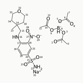 CC(=O)O[BH-](OC(C)=O)OC(C)=O.CC1(CNc2ccc(S(N)(=O)=O)cc2[N+](=O)[O-])CCOCC1.[Na+]